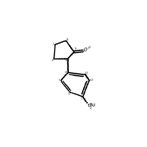 CC(C)(C)c1ccc(C2CCCC2=O)cc1